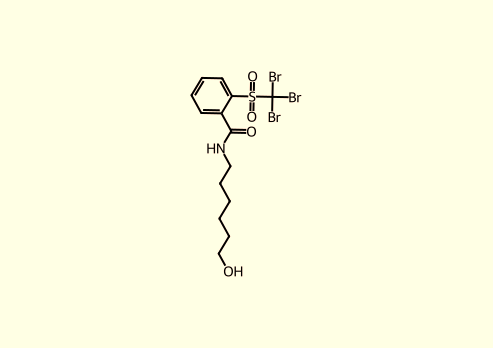 O=C(NCCCCCCO)c1ccccc1S(=O)(=O)C(Br)(Br)Br